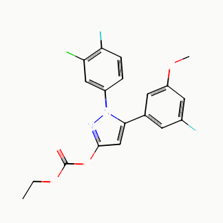 CCOC(=O)Oc1cc(-c2cc(F)cc(OC)c2)n(-c2ccc(F)c(Cl)c2)n1